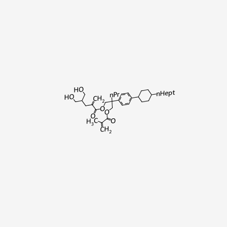 C=C(C)C(=O)OCC(CCC)(COC(=O)C(=C)CC(CO)CO)c1ccc(C2CCC(CCCCCCC)CC2)cc1